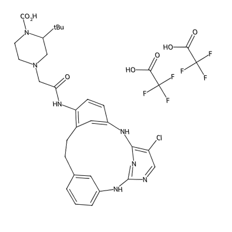 CC(C)(C)C1CN(CC(=O)Nc2ccc3cc2CCc2cccc(c2)Nc2ncc(Cl)c(n2)N3)CCN1C(=O)O.O=C(O)C(F)(F)F.O=C(O)C(F)(F)F